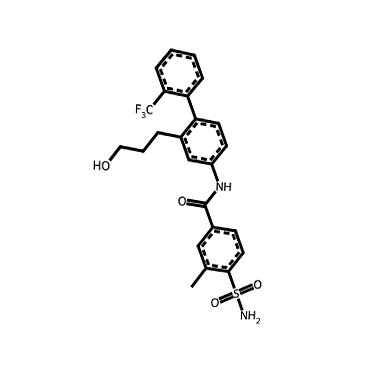 Cc1cc(C(=O)Nc2ccc(-c3ccccc3C(F)(F)F)c(CCCO)c2)ccc1S(N)(=O)=O